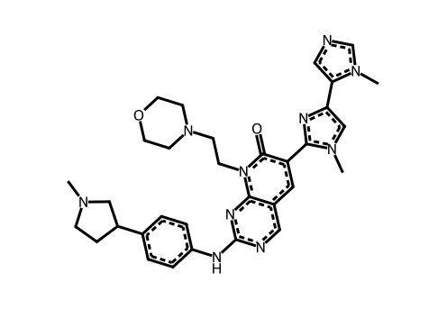 CN1CCC(c2ccc(Nc3ncc4cc(-c5nc(-c6cncn6C)cn5C)c(=O)n(CCN5CCOCC5)c4n3)cc2)C1